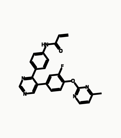 C=CC(=O)Nc1ccc(-c2ncncc2-c2ccc(Oc3nccc(C)n3)c(F)c2)cc1